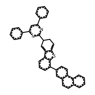 C1=c2sc3c(-c4ccc5c(ccc6ccccc65)c4)cccc3c2=CC(c2nc(-c3ccccc3)cc(-c3ccccc3)n2)C1